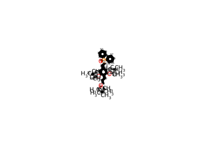 CC(C)(C)[Si](C)(C)OCCC=C1[C@H](O[Si](C)(C)C(C)(C)C)CC(=CCP(=O)(c2ccccc2)c2ccccc2)C[C@H]1O[Si](C)(C)C(C)(C)C